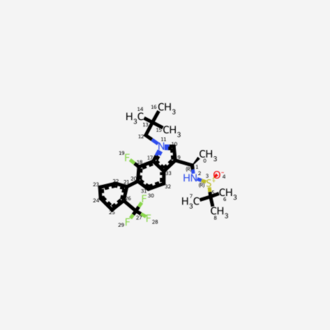 C[C@@H](N[S@@+]([O-])C(C)(C)C)c1cn(CC(C)(C)C)c2c(F)c(-c3ccccc3C(F)(F)F)ccc12